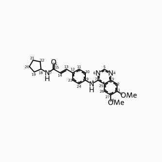 COc1cc2ncnc(Nc3ccc(/C=C/C(=O)NC4CCCC4)cc3)c2cc1OC